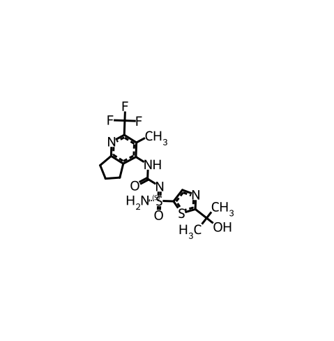 Cc1c(C(F)(F)F)nc2c(c1NC(=O)N=[S@](N)(=O)c1cnc(C(C)(C)O)s1)CCC2